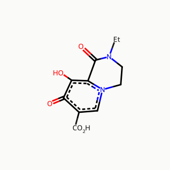 CCN1CCn2cc(C(=O)O)c(=O)c(O)c2C1=O